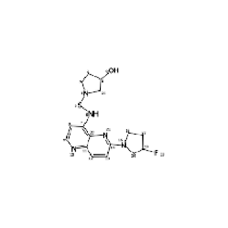 OC1CCN(SNc2ccnc3ccc(N4CCC(F)C4)nc23)C1